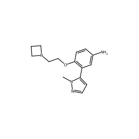 Cn1nccc1-c1cc(N)ccc1OCCN1CCC1